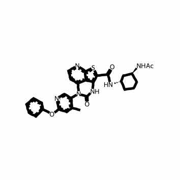 CC(=O)N[C@H]1CCC[C@H](NC(=O)c2sc3nccc4c3c2NC(=O)N4c2cnc(Oc3ccccc3)cc2C)C1